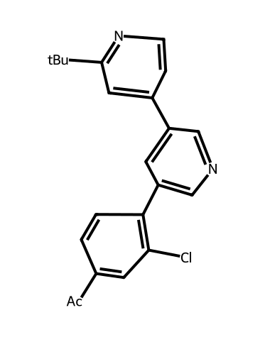 CC(=O)c1ccc(-c2cncc(-c3ccnc(C(C)(C)C)c3)c2)c(Cl)c1